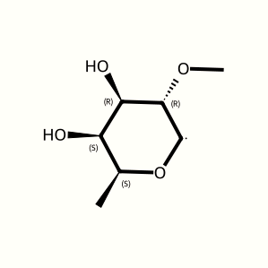 CO[C@@H]1[CH]O[C@@H](C)[C@@H](O)[C@H]1O